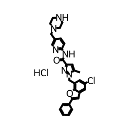 Cc1cc(C(=O)Nc2ccc(CN3CCNCC3)cn2)nn1Cc1cc(Cl)cc2cc(-c3ccccc3)oc12.Cl